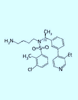 CCc1cnccc1-c1cccc([C@H](C)N(CCCCN)S(=O)(=O)c2cccc(Cl)c2C)c1